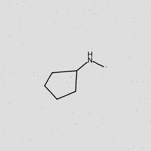 [CH2]NC1CCCC1